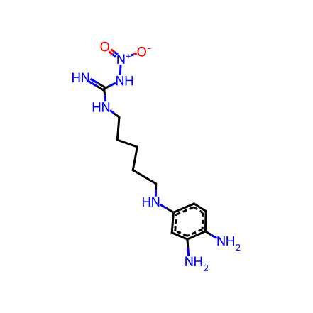 N=C(NCCCCCNc1ccc(N)c(N)c1)N[N+](=O)[O-]